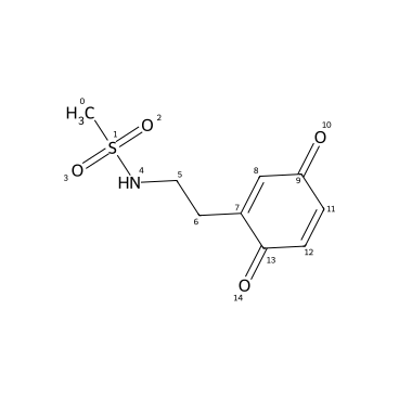 CS(=O)(=O)NCCC1=CC(=O)C=CC1=O